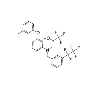 Cc1cccc(Oc2cccc(N(Cc3cccc(C(F)(F)C(F)(F)F)c3)CC(O)C(F)(F)F)c2)c1